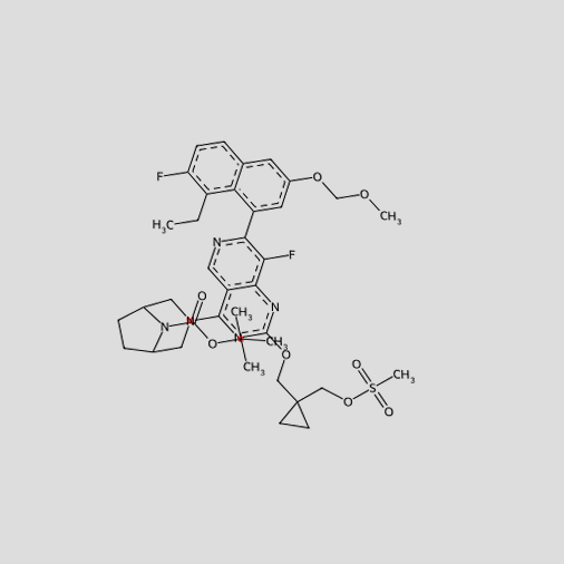 CCc1c(F)ccc2cc(OCOC)cc(-c3ncc4c(N5CC6CCC(C5)N6C(=O)OC(C)(C)C)nc(OCC5(COS(C)(=O)=O)CC5)nc4c3F)c12